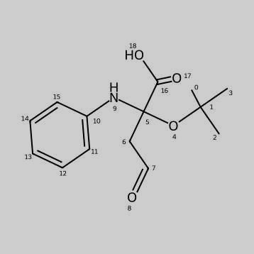 CC(C)(C)OC(CC=O)(Nc1ccccc1)C(=O)O